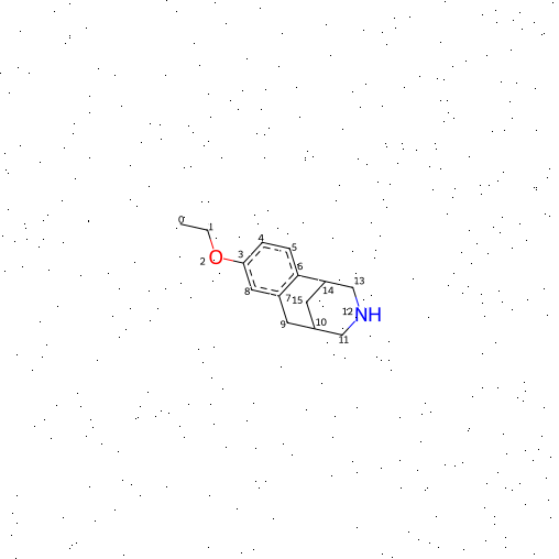 CCOc1ccc2c(c1)CC1CNCC2C1